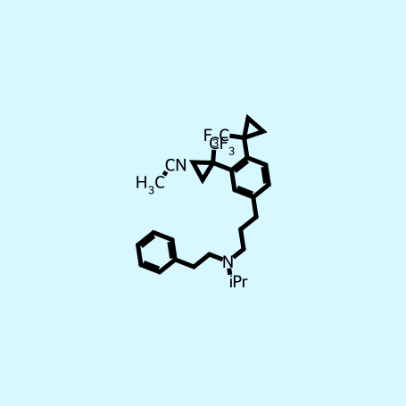 CC#N.CC(C)N(CCCc1ccc(C2(C(F)(F)F)CC2)c(C2(C(F)(F)F)CC2)c1)CCc1ccccc1